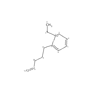 CCc1ccccc1CCC[C]=O